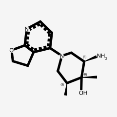 C[C@H]1CN(c2ccnc3c2CCO3)C[C@@H](N)[C@]1(C)O